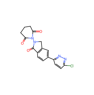 O=C1c2ccc(-c3ccc(Cl)nn3)cc2CN1N1C(=O)CCCC1=O